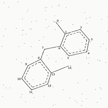 [CH2]c1ccccc1Cc1ccccc1[CH2]